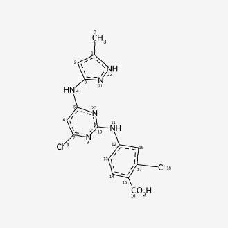 Cc1cc(Nc2cc(Cl)nc(Nc3ccc(C(=O)O)c(Cl)c3)n2)n[nH]1